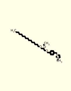 CCCCCCCCCCCCCCCCOCC(COCc1ccc(CN2C=CN(C)C2)cc1)OCC